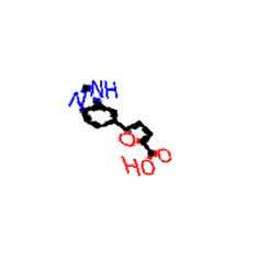 O=C(O)c1ccc(-c2ccc3nc[nH]c3c2)o1